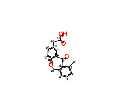 Cc1cccc2c1C(=O)c1cc(CC(=O)O)ccc1OC2